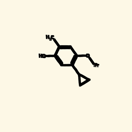 Cc1cc(OC(C)C)c(C2CC2)cc1O